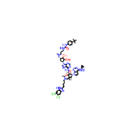 CC1O[C@@H]2[C@H](C[C@@H](n3ccc4c(NC5CC5)ncnc43)[C@@H]2ONc2ncnc3c2ncn3[C@@H]2C[C@H](CN(C)CCCNC(=O)Nc3ccc(C(C)(C)C)cc3)[C@@H](O)[C@H]2O)CN1CCCCc1nc2cc(Cl)c(Cl)cc2[nH]1